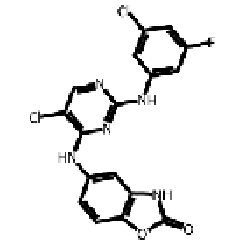 O=c1[nH]c2cc(Nc3nc(Nc4cc(F)cc(Cl)c4)ncc3Cl)ccc2o1